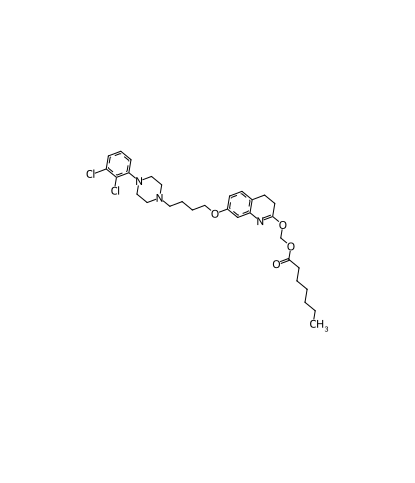 CCCCCCC(=O)OCOC1=Nc2cc(OCCCCN3CCN(c4cccc(Cl)c4Cl)CC3)ccc2CC1